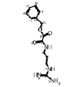 N=C(N)NCCCNC(=O)C(=O)OCc1ccccc1